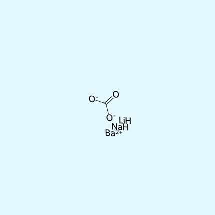 O=C([O-])[O-].[Ba+2].[LiH].[NaH]